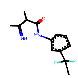 CC(=N)C(C)C(=O)Nc1cccc(C(C)(F)F)c1